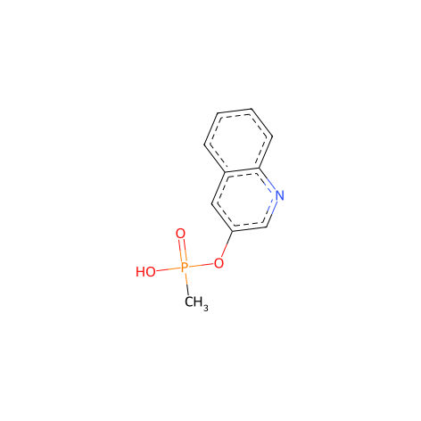 CP(=O)(O)Oc1cnc2ccccc2c1